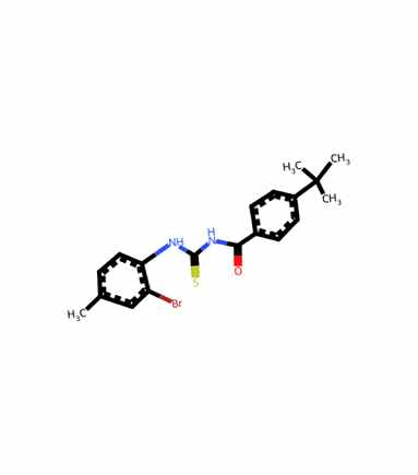 Cc1ccc(NC(=S)NC(=O)c2ccc(C(C)(C)C)cc2)c(Br)c1